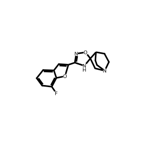 Fc1cccc2cc(C3=NOC4(CN5CCC4CC5)N3)oc12